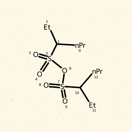 CCCC(CC)S(=O)(=O)OS(=O)(=O)C(CC)CCC